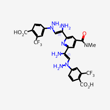 CNC(=O)c1cc(/C(N)=C/N(N)c2ccc(C(=O)O)c(C(F)(F)F)c2)nc(/C(N)=C/N(N)c2ccc(C(=O)O)c(C(F)(F)F)c2)c1